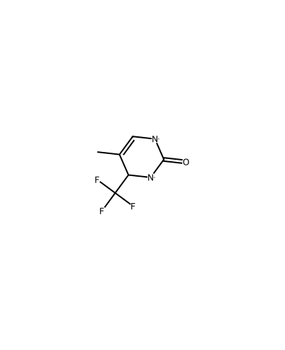 CC1=C[N]C(=O)[N]C1C(F)(F)F